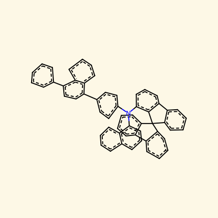 c1ccc(-c2ccc(-c3ccc(N(c4cccc5c4C4(c6ccccc6-c6ccccc64)c4ccccc4-5)c4cccc5ccccc45)cc3)c3ccccc23)cc1